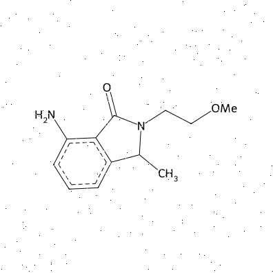 COCCN1C(=O)c2c(N)cccc2C1C